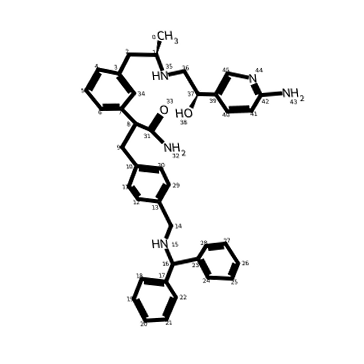 C[C@H](Cc1cccc(C(Cc2ccc(CNC(c3ccccc3)c3ccccc3)cc2)C(N)=O)c1)NC[C@H](O)c1ccc(N)nc1